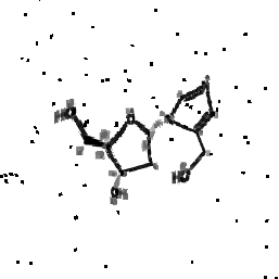 OCc1cncn1[C@@H]1C[C@H](O)[C@@H](CO)O1